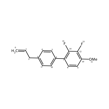 C=CCc1ccc(-c2ccc(OC)c(F)c2F)cc1